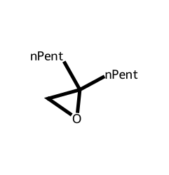 CCCCCC1(CCCCC)CO1